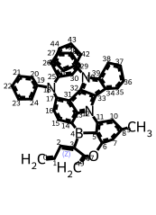 C=C/C=C1/B2c3c(cc(C)cc3-n3c4c2ccc(N(c2ccccc2)c2ccccc2)c4c2c3c3ccccc3n2-c2ccccc2)OC1=C